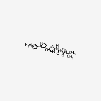 CC(C)N1CCN(C(=O)Nc2ncc(Oc3ccnc(-c4cnn(C)c4)c3)cn2)C1=O